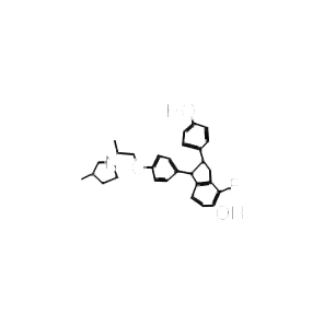 CC1CCN(C(C)COc2ccc(C3c4ccc(O)c(F)c4CC3c3ccc(O)cc3)cc2)C1